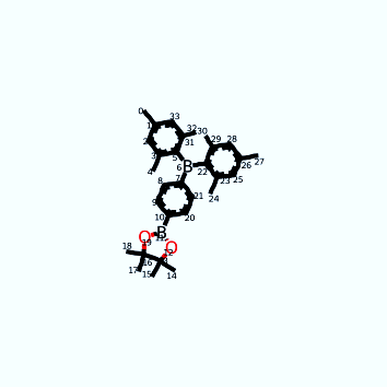 Cc1cc(C)c(B(c2ccc(B3OC(C)(C)C(C)(C)O3)cc2)c2c(C)cc(C)cc2C)c(C)c1